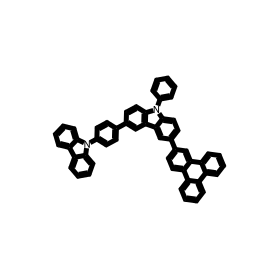 c1ccc(-n2c3ccc(-c4ccc(-n5c6ccccc6c6ccccc65)cc4)cc3c3cc(-c4ccc5c6ccccc6c6ccccc6c5c4)ccc32)cc1